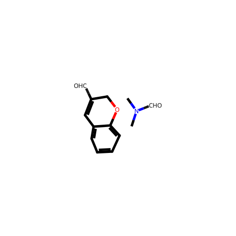 CN(C)C=O.O=CC1=Cc2ccccc2OC1